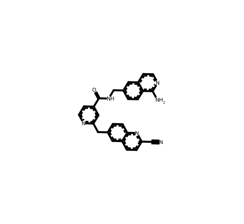 N#Cc1ccc2cc(Cc3cc(C(=O)NCc4ccc5c(N)nccc5c4)ccn3)ccc2n1